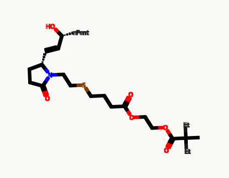 CCCCC[C@@H](O)/C=C/[C@H]1CCC(=O)N1CCSCCCC(=O)OCCOC(=O)C(C)(CC)CC